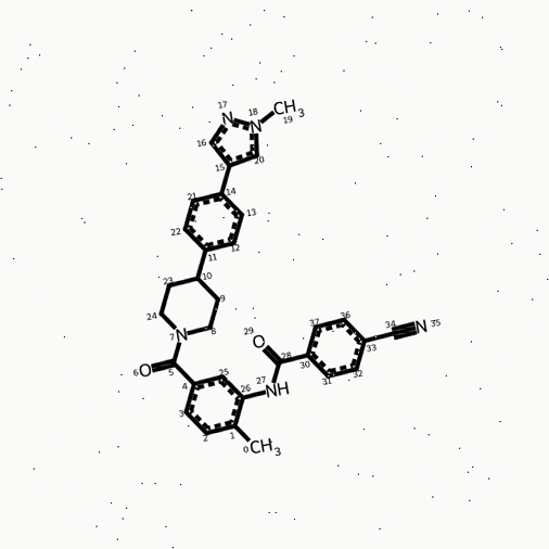 Cc1ccc(C(=O)N2CCC(c3ccc(-c4cnn(C)c4)cc3)CC2)cc1NC(=O)c1ccc(C#N)cc1